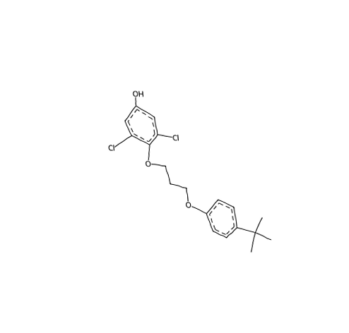 CC(C)(C)c1ccc(OCCCOc2c(Cl)cc(O)cc2Cl)cc1